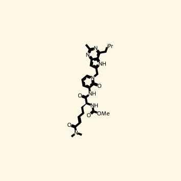 COC(=O)N[C@@H](CC/C=C/C(=O)N(C)C)C(=O)Nc1cccn(Cc2cc3nc(C)nc(CC(C)C)c3[nH]2)c1=O